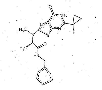 C[C@H](C(=O)NCc1ccccc1)N(C)c1nc2c(=O)[nH]c(C3(F)CC3)nc2s1